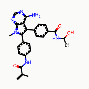 C=C(C)C(=O)Nc1ccc(-c2c(-c3ccc(C(=O)NC(O)CC)cc3)c3c(N)ncnc3n2C)cc1